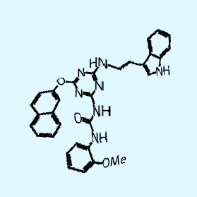 COc1ccccc1NC(=O)Nc1nc(NCCc2c[nH]c3ccccc23)nc(Oc2ccc3ccccc3c2)n1